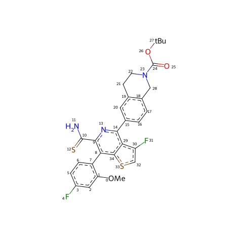 COc1cc(F)ccc1-c1c(C(N)=S)nc(-c2ccc3c(c2)CCN(C(=O)OC(C)(C)C)C3)c2c(F)csc12